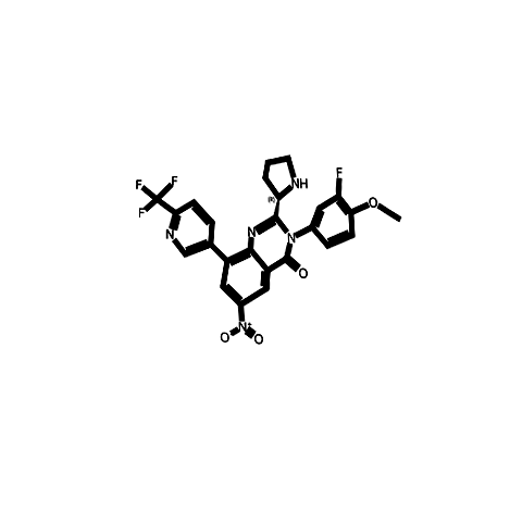 COc1ccc(-n2c([C@H]3CCCN3)nc3c(-c4ccc(C(F)(F)F)nc4)cc([N+](=O)[O-])cc3c2=O)cc1F